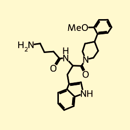 COc1ccccc1C1CCN(C(=O)C(Cc2c[nH]c3ccccc23)NC(=O)CCCN)CC1